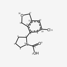 O=C(O)N1CCCC1c1cc(Cl)cc2c1COC2